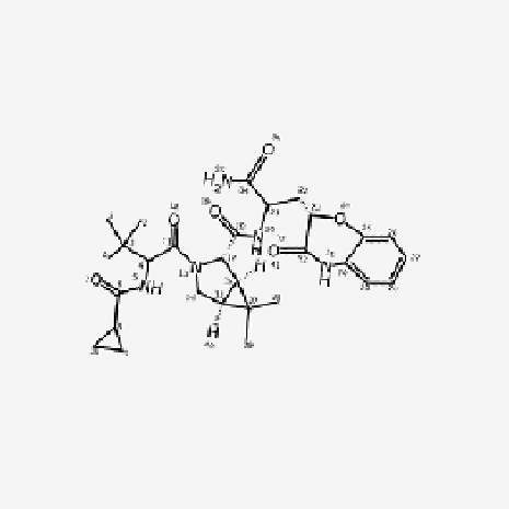 CC(C)(C)C(NC(=O)C1CC1)C(=O)N1C[C@H]2[C@@H]([C@H]1C(=O)NC(C[C@@H]1Oc3ccccc3NC1=O)C(N)=O)C2(C)C